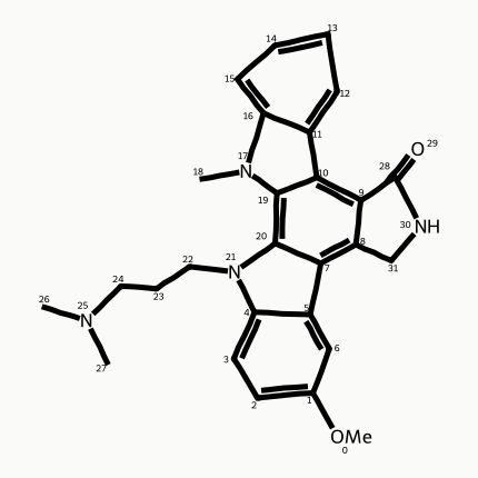 COc1ccc2c(c1)c1c3c(c4c5ccccc5n(C)c4c1n2CCCN(C)C)C(=O)NC3